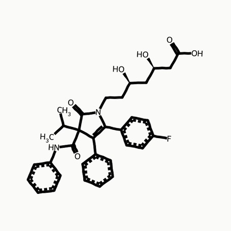 CC(C)C1(C(=O)Nc2ccccc2)C(=O)N(CC[C@@H](O)C[C@@H](O)CC(=O)O)C(c2ccc(F)cc2)=C1c1ccccc1